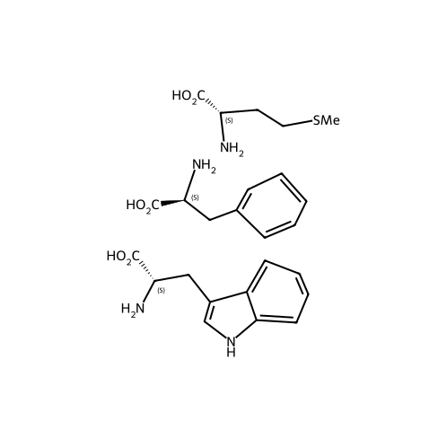 CSCC[C@H](N)C(=O)O.N[C@@H](Cc1c[nH]c2ccccc12)C(=O)O.N[C@@H](Cc1ccccc1)C(=O)O